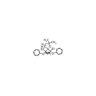 CCC(N)(Oc1ccccc1)[Si](C)(O[Si](C)(C)C)C(N)(CC)Oc1ccccc1